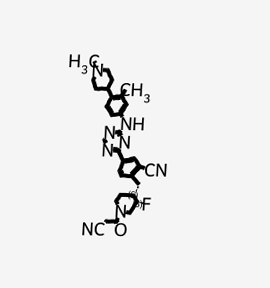 Cc1cc(Nc2ncnc(-c3ccc(C[C@H]4CCN(C(=O)CC#N)C[C@H]4F)c(C#N)c3)n2)ccc1C1CCN(C)CC1